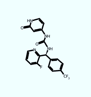 O=C(Nc1cc[nH]c(=O)c1)N[C@@H](c1ccc(C(F)(F)F)cc1)c1ncccc1F